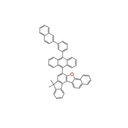 CC1(C)c2ccccc2-c2c1cc(-c1c3ccccc3c(-c3cccc(-c4ccc5ccccc5c4)c3)c3ccccc13)c1oc3c4ccccc4ccc3c21